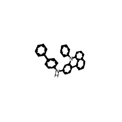 c1ccc(-c2ccc(Nc3ccc4c(c3)N(c3ccccc3)c3cccc5cccc-4c35)cc2)cc1